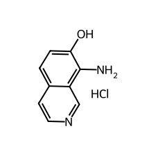 Cl.Nc1c(O)ccc2ccncc12